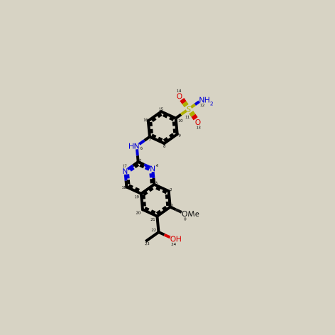 COc1cc2nc(Nc3ccc(S(N)(=O)=O)cc3)ncc2cc1C(C)O